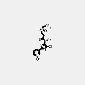 CCN(C(=S)CCS(=O)(=O)CC(F)(F)F)c1sc(-c2ccc[n+]([O-])c2)nc1Cl